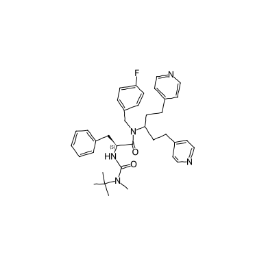 CN(C(=O)N[C@@H](Cc1ccccc1)C(=O)N(Cc1ccc(F)cc1)C(CCc1ccncc1)CCc1ccncc1)C(C)(C)C